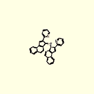 C1=C(c2ccccn2)[CH]([Hf][CH]2C(c3ccccn3)=Cc3c2ccc2ccccc32)c2ccc3ccccc3c21